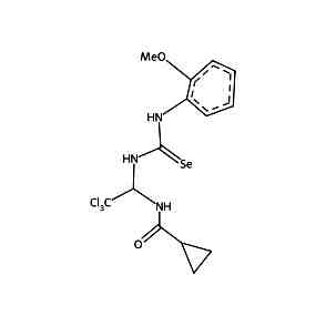 COc1ccccc1NC(=[Se])NC(NC(=O)C1CC1)C(Cl)(Cl)Cl